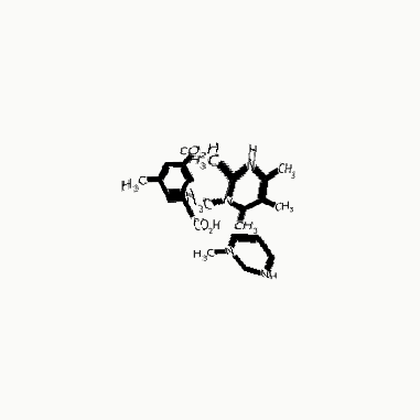 CC1=C(C)C(C)N(C)C(C)N1.CN1C=CCNC1.Cc1cc(C(=O)O)cc(C(=O)O)c1